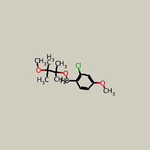 COc1ccc(BOC(C)(C)C(C)(C)OC)c(Cl)c1